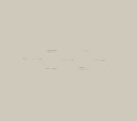 CSc1ccc(-c2ccc(CO)nc2)cc1